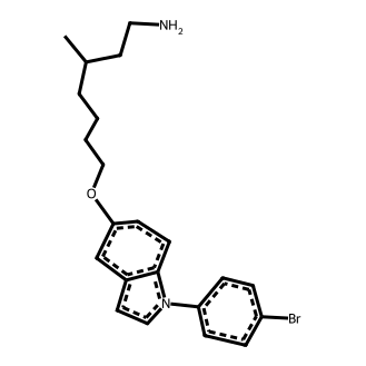 CC(CCN)CCCCOc1ccc2c(ccn2-c2ccc(Br)cc2)c1